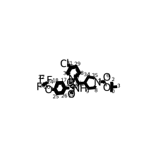 CC(C)(C)OC(=O)N1CCC([C@H](NS(=O)(=O)c2ccc(OC(F)(F)F)cc2)c2ccc(Cl)cn2)CC1